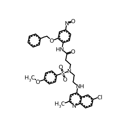 COc1ccc(S(=O)(=O)N(CCNc2cc(C)nc3ccc(Cl)cc23)CCC(=O)Nc2ccc(N=O)cc2OCc2ccccc2)cc1